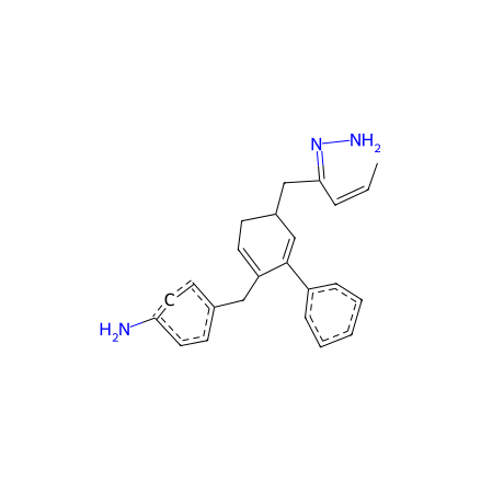 C/C=C\C(CC1C=C(c2ccccc2)C(Cc2ccc(N)cc2)=CC1)=N/N